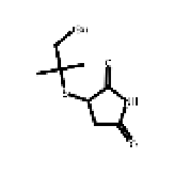 CC(C)(C)CC(C)(C)SC1CC(=O)NC1=O